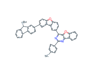 CCCCC1c2ccccc2-c2ccc(-c3ccc4oc5ccc(-c6nc(-c7ccc(C#N)cc7)nc7c6oc6ccccc67)cc5c4c3)cc21